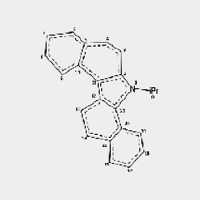 CC(C)n1c2ccc3ccccc3c2c2ccc3ccccc3c21